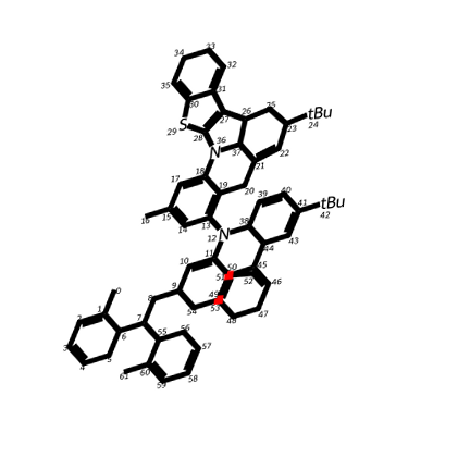 CC1=CC=CCC1C(CC1C=C(N(c2cc(C)cc3c2CC2=CC(C(C)(C)C)CC4c5c(sc6c5=CCCC=6)N3C24)C2C=CC(C(C)(C)C)=CC2C2=CCCC=C2)C(C)CC1)C1CC=CC=C1C